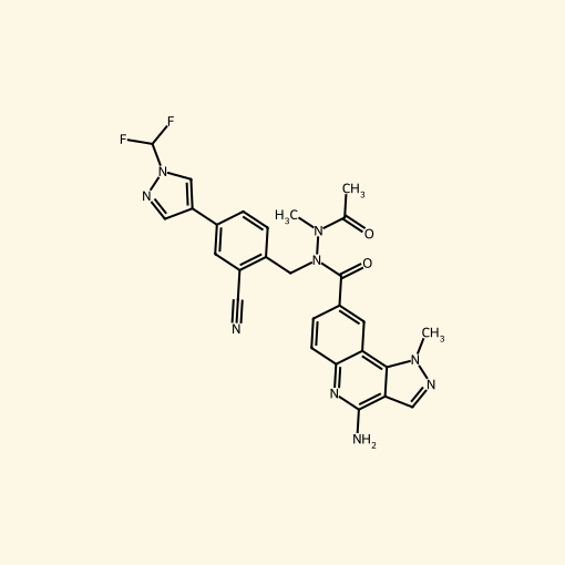 CC(=O)N(C)N(Cc1ccc(-c2cnn(C(F)F)c2)cc1C#N)C(=O)c1ccc2nc(N)c3cnn(C)c3c2c1